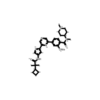 COc1cc(-c2cncc(-c3cc(NC(=O)C(C)(C)C4CCC4)cs3)n2)ccc1C(=O)N(C)C1CCN(C)CC1